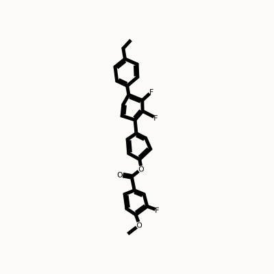 CCc1ccc(-c2ccc(-c3ccc(OC(=O)c4ccc(OC)c(F)c4)cc3)c(F)c2F)cc1